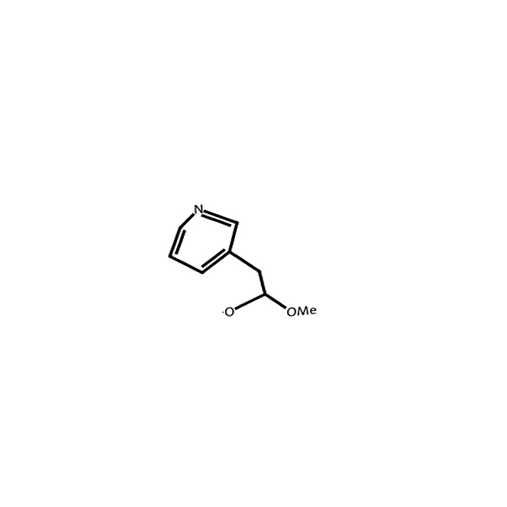 COC([O])Cc1cccnc1